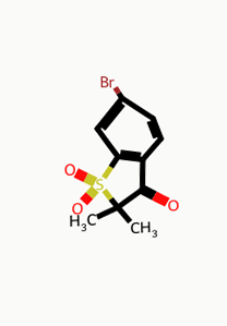 CC1(C)C(=O)c2ccc(Br)cc2S1(=O)=O